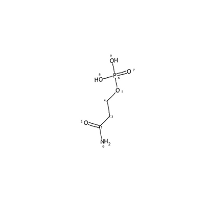 NC(=O)[CH]COP(=O)(O)O